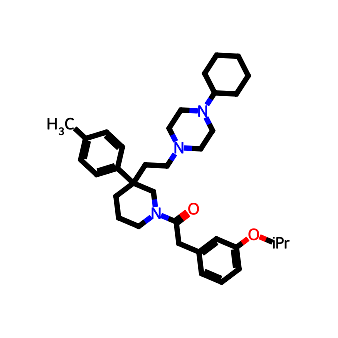 Cc1ccc(C2(CCN3CCN(C4CCCCC4)CC3)CCCN(C(=O)Cc3cccc(OC(C)C)c3)C2)cc1